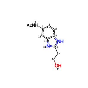 CC(=O)Nc1ccc2[nH]c(CCO)nc2c1